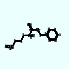 O=C(O)CCC[AsH]C(=O)OCc1ccccc1